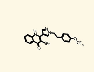 CC(C)c1c(-c2cnn(CCc3ccc(OC(F)(F)F)cc3)c2)[nH]c2ccccc2c1=O